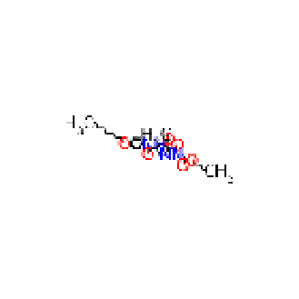 CCCCCCCCOc1ccc(NC(=O)c2cnc(C(=O)NCC(=O)OCCCC)c(OC)c2)cc1